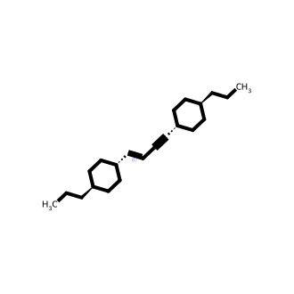 CCC[C@H]1CC[C@H](C#C/C=C/[C@H]2CC[C@H](CCC)CC2)CC1